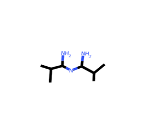 CC(C)C(N)[N]C(N)C(C)C